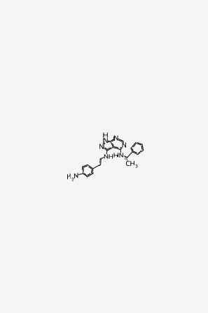 C[C@H](Nc1ncnc2[nH]nc(NCCc3ccc(N)cc3)c12)c1ccccc1